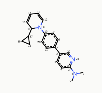 CN(C)c1ccc(-c2ccc(N3C=CC=CC3C3CC3)cc2)cn1